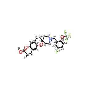 COC(=O)C(C)Cc1ccc2c(c1)OC1(CC2)CCN(Cc2cc(F)ccc2OC(F)(F)F)CC1